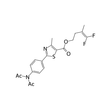 CC(=O)N(C(C)=O)c1ccc(-c2nc(C)c(C(=O)OCCC(C)=C(F)F)s2)cc1